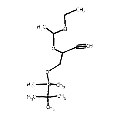 C#CC(CO[Si](C)(C)C(C)(C)C)OC(C)OCC